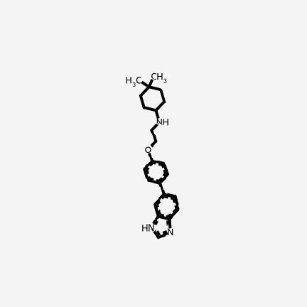 CC1(C)CCC(NCCOc2ccc(-c3ccc4nc[nH]c4c3)cc2)CC1